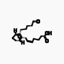 O=CCCCC[C@@H]1[C@H](C/C=C\CCCC(=O)O)[C@@H]2CC[C@H]1O2